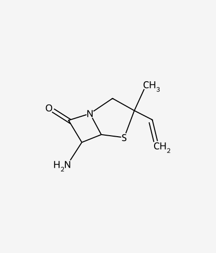 C=CC1(C)CN2C(=O)C(N)C2S1